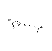 CC(C)NCCCCCOCC(=O)C(C)C